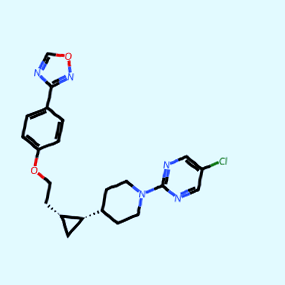 Clc1cnc(N2CCC([C@@H]3C[C@@H]3CCOc3ccc(-c4ncon4)cc3)CC2)nc1